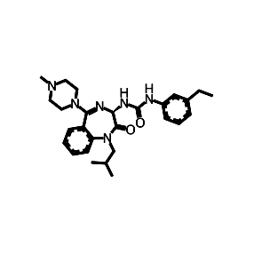 CCc1cccc(NC(=O)N[C@@H]2N=C(N3CCN(C)CC3)c3ccccc3N(CC(C)C)C2=O)c1